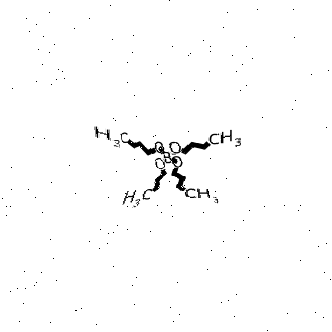 CCCCO[B-](OCCCC)(OCCCC)OCCCC